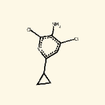 Nc1c(Cl)cc(C2CC2)nc1Cl